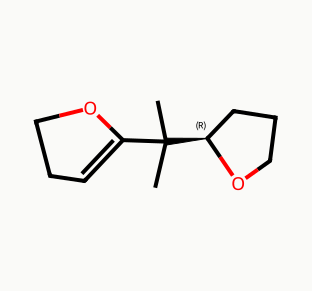 CC(C)(C1=CCCO1)[C@H]1CCCO1